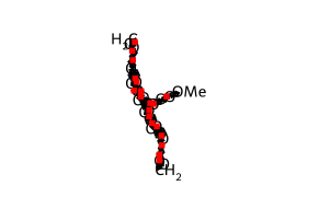 C=CC(=O)OCCCCCCOc1ccc(OC(=O)C2CCC(C(=O)Oc3ccc(OC(=O)C4CCC(C(=O)Oc5ccc(OCCCCCCOC(=O)C=C)cc5)CC4)c(OCCOCCOCCOC)c3)CC2)cc1